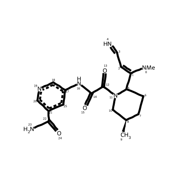 CN/C(=C\C=N)C1CC[C@@H](C)CN1C(=O)C(=O)Nc1cncc(C(N)=O)c1